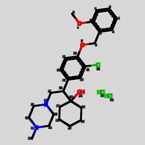 COc1ccccc1COc1ccc(C(CN2CCN(C)CC2)C2(O)CCCCC2)cc1Cl.Cl.Cl